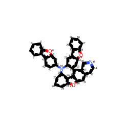 c1ccc2c(c1)oc1cc(N(c3ccc4oc5ccccc5c4c3)c3cccc4oc5cc6ccncc6cc5c34)ccc12